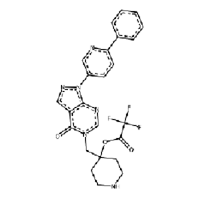 O=C(OC1(Cn2cnc3c(cnn3-c3ccc(-c4ccccc4)nc3)c2=O)CCNCC1)C(F)(F)F